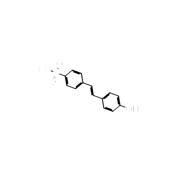 CS(=O)(=O)c1ccc(C=Cc2ccc(O)cc2)cc1